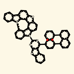 c1ccc(-c2cccc3cccc(-c4ccc(-c5nc(-n6c7ccc8oc9ccc%10c%11ccccc%11n%11c%12cccc6c%12c7c8c9c%10%11)nc6sc7ccccc7c56)cc4)c23)cc1